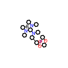 O=P12c3ccccc3Oc3cccc(c31)Oc1ccc(-c3cccc(N(c4ccccc4)c4cc5c6c(c4)N(c4ccccc4)c4ccccc4B6c4ccccc4N5c4ccccc4)c3)cc12